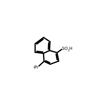 CC(C)c1ccc(S(=O)(=O)O)c2ccccc12